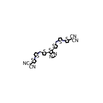 N#CC(C#N)=c1cc/c(=c2/cc/c(=C/c3ccc(-c4sc(-c5ccc(/C=c6/cc/c(=c7/ccc(=C(C#N)C#N)s7)s6)s5)c5nccnc45)s3)s2)s1